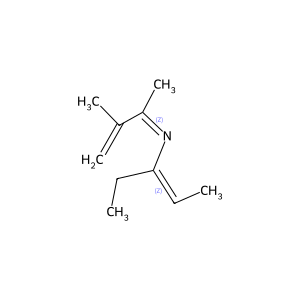 C=C(C)/C(C)=N\C(=C/C)CC